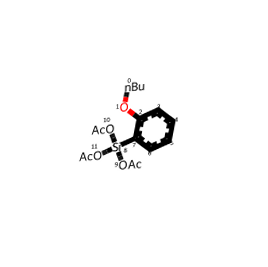 CCCCOc1ccccc1[Si](OC(C)=O)(OC(C)=O)OC(C)=O